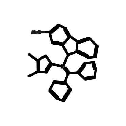 COc1ccc2c(c1)[CH]([Zr]([C]1=CC(C)=C(C)C1)=[C](c1ccccc1)c1ccccc1)c1ccccc1-2